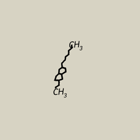 CCCCCCCC1CCC2CC(CCC)CCC2C1